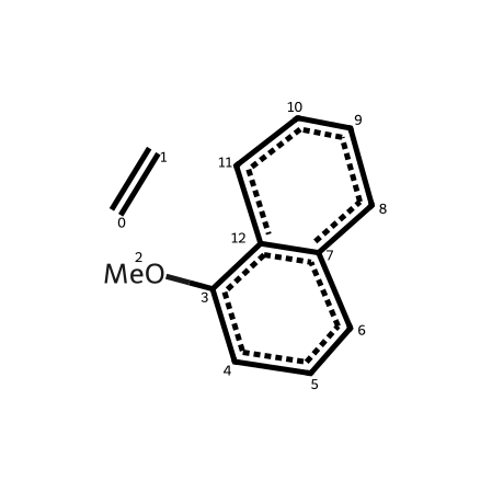 C=C.COc1cccc2ccccc12